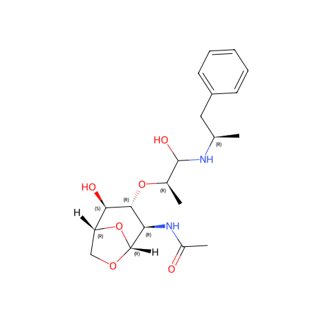 CC(=O)N[C@H]1[C@@H]2OC[C@@H](O2)[C@@H](O)[C@@H]1O[C@H](C)C(O)N[C@H](C)Cc1ccccc1